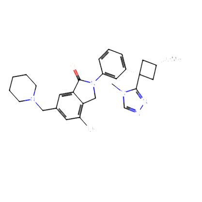 CO[C@H]1C[C@](c2cccc(N3Cc4c(cc(CN5CCCCC5)cc4C(F)(F)F)C3=O)c2)(c2nncn2C)C1